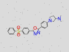 CN(C)C1CCN(c2ccc(-c3nnc(-c4ccc(S(=O)(=O)c5ccccc5)cc4)o3)cc2)C1